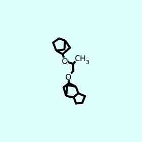 CC(COC1CC2CC1C1CCCC21)OC1CC2CCC1C2